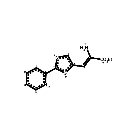 CCOC(=O)/C(N)=C/c1cnc(-c2ccccn2)s1